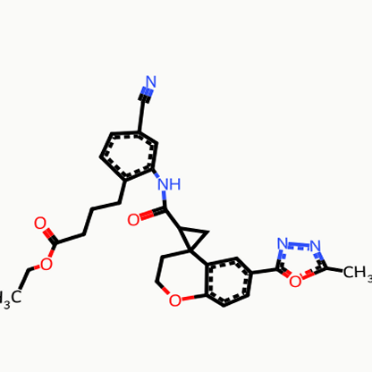 CCOC(=O)CCCc1ccc(C#N)cc1NC(=O)C1CC12CCOc1ccc(-c3nnc(C)o3)cc12